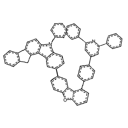 c1ccc(-c2cc(-c3ccc(-c4cccc5oc6ccc(-c7ccc8c(c7)c7c9c(ccc7n8-c7ccccc7)-c7ccccc7C9)cc6c45)cc3)cc(-c3ccccc3)n2)cc1